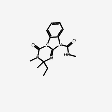 CCC1(C)N=C2N(C(=O)NC)c3ccccc3N2C(=O)N1C